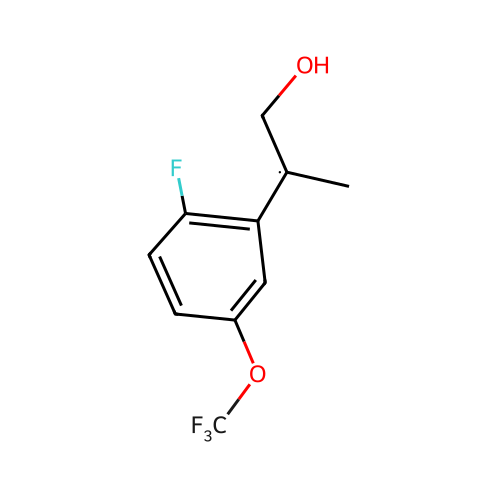 C[C](CO)c1cc(OC(F)(F)F)ccc1F